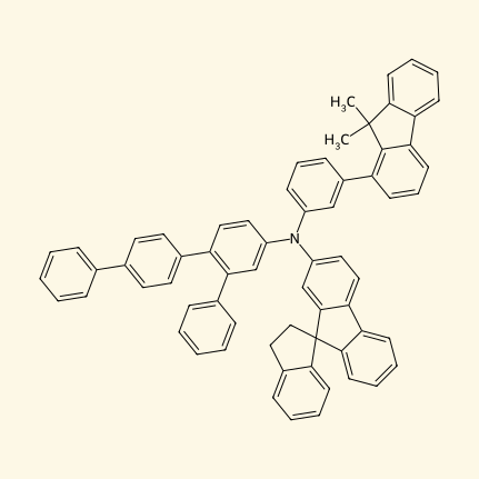 CC1(C)c2ccccc2-c2cccc(-c3cccc(N(c4ccc(-c5ccc(-c6ccccc6)cc5)c(-c5ccccc5)c4)c4ccc5c(c4)C4(CCc6ccccc64)c4ccccc4-5)c3)c21